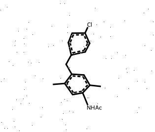 CC(=O)Nc1cc(C)c(Cc2ccc(Cl)cc2)cc1C